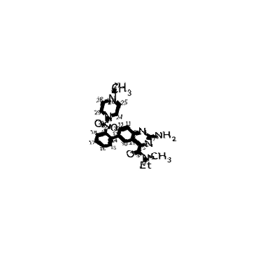 CCN(C)C(=O)c1nc(N)nc2ccc(-c3ccccc3S(=O)(=O)N3CCN(C)CC3)cc12